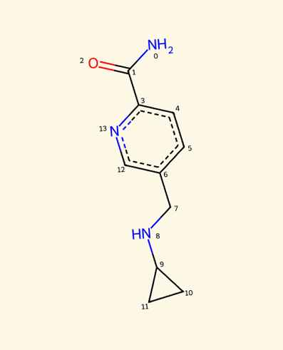 NC(=O)c1ccc(CNC2CC2)cn1